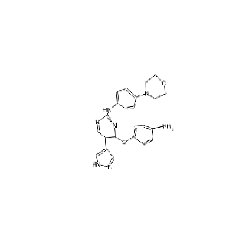 Nc1ccc(Sc2nc(Nc3ccc(N4CCOCC4)cc3)ncc2-c2cn[nH]c2)cc1